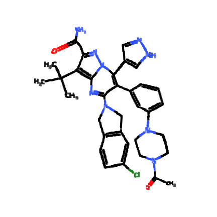 CC(=O)N1CCN(c2cccc(-c3c(N4Cc5ccc(Cl)cc5C4)nc4c(C(C)(C)C)c(C(N)=O)nn4c3-c3cn[nH]c3)c2)CC1